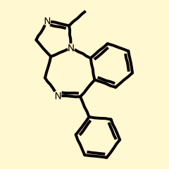 CC1=NCC2CN=C(c3ccccc3)c3ccccc3N12